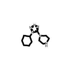 C1CCC(n2nnnc2N2CCNCC2)CC1